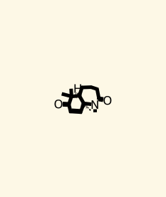 CN1C(=O)CCC[C@H]2C(C)(C)C(=O)C=C[C@@]21C